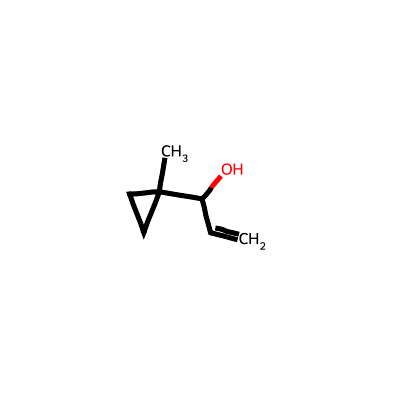 C=CC(O)C1(C)CC1